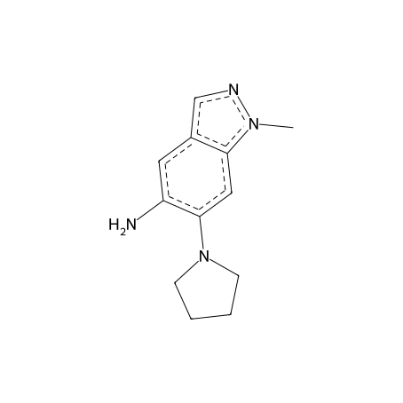 Cn1ncc2cc(N)c(N3CCCC3)cc21